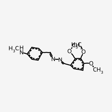 CNc1ccc(/C=N/N=C/c2ccc(OC)c(OC)c2OC)cc1